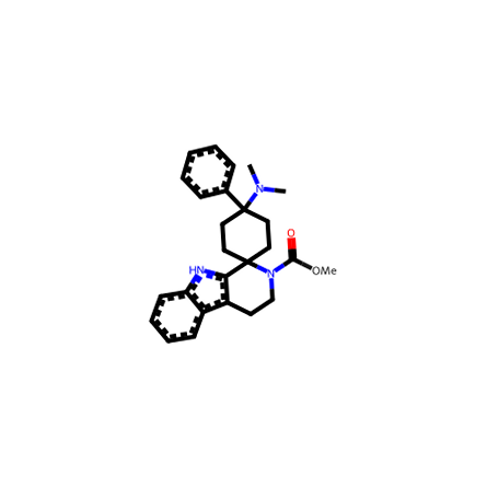 COC(=O)N1CCc2c([nH]c3ccccc23)C12CCC(c1ccccc1)(N(C)C)CC2